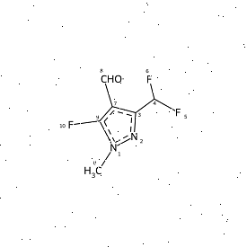 Cn1nc(C(F)F)c([C]=O)c1F